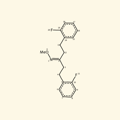 CON=C(CCc1ccccc1F)CCc1ccccc1F